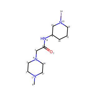 CN1CCN(CC(=O)NC2CCCN(I)C2)CC1